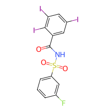 O=C(NS(=O)(=O)c1cccc(F)c1)c1cc(I)cc(I)c1I